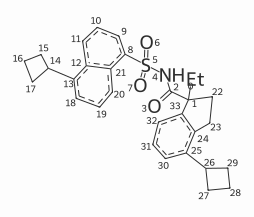 CCC1(C(=O)NS(=O)(=O)c2cccc3c(C4CCC4)cccc23)CCc2c(C3CCC3)cccc21